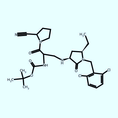 CC[C@@H]1C[C@H](NCC(NC(=O)OC(C)(C)C)C(=O)N2CCCC2C#N)C(=O)N1Cc1c(Cl)cccc1Cl